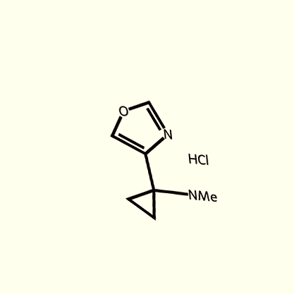 CNC1(c2cocn2)CC1.Cl